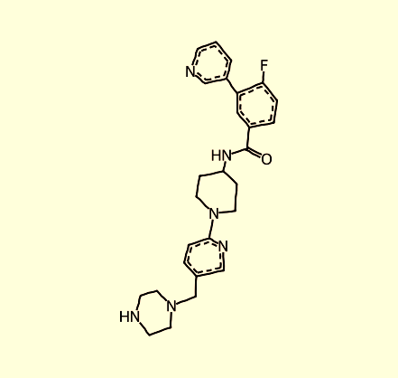 O=C(NC1CCN(c2ccc(CN3CCNCC3)cn2)CC1)c1ccc(F)c(-c2cccnc2)c1